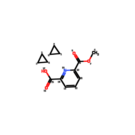 C1CC1.C1CC1.COC(=O)c1cccc(C(=O)O)n1